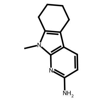 Cn1c2c(c3ccc(N)nc31)CCCC2